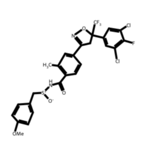 COc1ccc(C[S+]([O-])NC(=O)c2ccc(C3=NOC(c4cc(Cl)c(F)c(Cl)c4)(C(F)(F)F)C3)cc2C)cc1